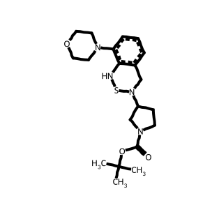 CC(C)(C)OC(=O)N1CCC(N2Cc3cccc(N4CCOCC4)c3NS2)C1